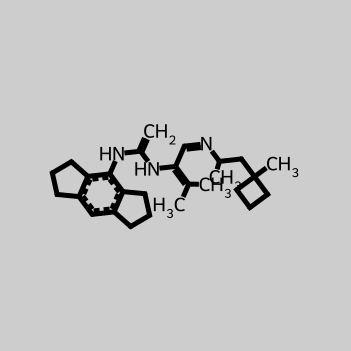 C=C(NC(/C=N\C(C)CC1(C)CCC1)=C(C)C)Nc1c2c(cc3c1CCC3)CCC2